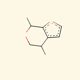 CC(C)C1COC(C(C)C)c2sccc21